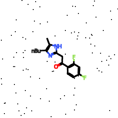 CCCCc1nc(CC(=O)c2ccc(F)cc2F)[nH]c1C